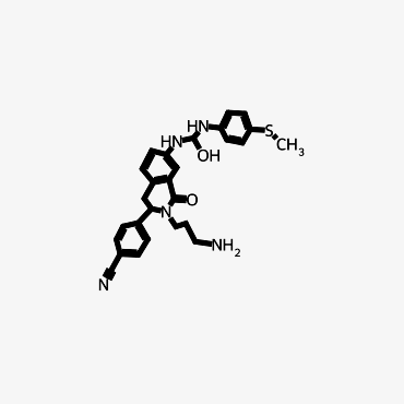 CSc1ccc(NC(O)Nc2ccc3c(c2)C(=O)N(CCCN)C(c2ccc(C#N)cc2)C3)cc1